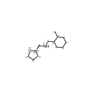 CC1CCCCC1CNC[C@H]1CCCO1